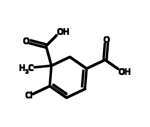 CC1(C(=O)O)CC(C(=O)O)=CC=C1Cl